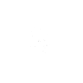 O=c1c2ccccc2n2c3c(Br)cccc3c(=O)n12